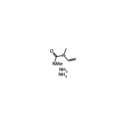 C=CN(C)C(=O)NC.N.N